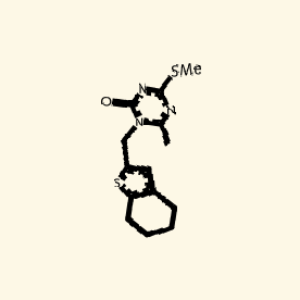 CSc1nc(C)n(Cc2cc3c(s2)CCCC3)c(=O)n1